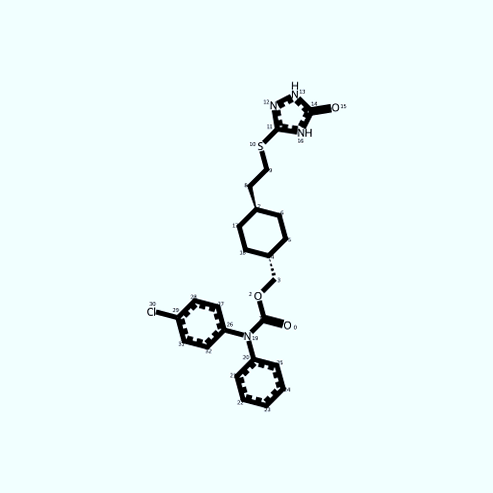 O=C(OC[C@H]1CC[C@H](CCSc2n[nH]c(=O)[nH]2)CC1)N(c1ccccc1)c1ccc(Cl)cc1